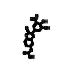 O=C(O)Oc1ccc2oc(=O)c(-c3cc(O)c(O)c([N+](=O)[O-])c3)nc2c1